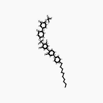 CCCCCCCCCCc1ccc(-c2ccc(-c3cc(F)c(C(F)(F)Oc4ccc(-c5ccc(OC(F)(F)F)c(F)c5)c(F)c4)c(F)c3)c(F)c2)cc1